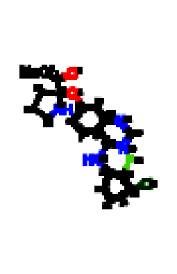 COC(=O)[C@@]1(Oc2ccc3c(Nc4cccc(Cl)c4F)ncnc3c2)CCCN1